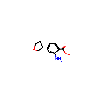 C1CCOC1.Nc1ccccc1C(=O)O